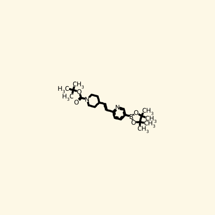 CC(C)(C)OC(=O)N1CCC(C=Cc2ccc(B3OC(C)(C)C(C)(C)O3)cn2)CC1